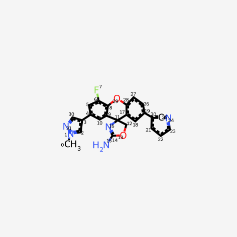 Cn1cc(-c2cc(F)c3c(c2)C2(COC(N)=N2)c2cc(-c4cccnc4)ccc2O3)cn1